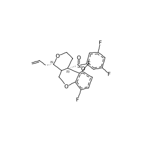 C=CC[C@@H]1OCC[C@@]2(S(=O)(=O)c3cc(F)cc(F)c3)c3c(F)ccc(F)c3OCC12